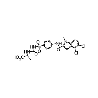 CC(NC(=O)NS(=O)(=O)c1ccc(NC(=O)c2cc3c(Cl)c(Cl)ccc3n2C)cc1)C(=O)O